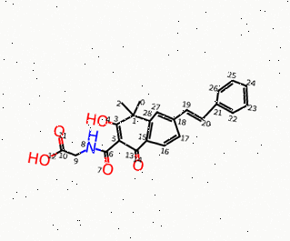 CC1(C)C(O)=C(C(=O)NCC(=O)O)C(=O)c2ccc(C=Cc3ccccc3)cc21